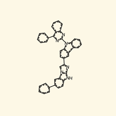 c1ccc(-c2ccc3[nH]c4nc(-c5ccc6c(c5)c5ccccc5n6-c5nc(-c6ccccc6)c6ccccc6n5)cn4c3c2)cc1